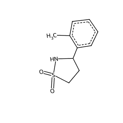 Cc1ccccc1C1CCS(=O)(=O)N1